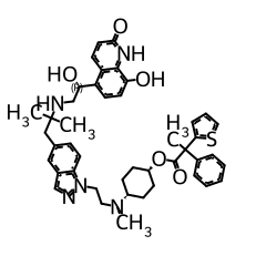 CN(CCn1ncc2cc(CC(C)(C)NC[C@H](O)c3ccc(O)c4[nH]c(=O)ccc34)ccc21)[C@H]1CC[C@H](OC(=O)C(C)(c2ccccc2)c2cccs2)CC1